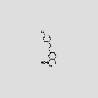 OB(O)c1cc(CSc2ccc(Cl)cc2)ccc1F